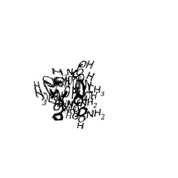 CC1(C)S[C@@H]2[C@H](NC(=O)[C@H](N)c3ccccc3)C(=O)N2[C@H]1C(=O)O.CN[C@@H]1[C@@H](O[C@H]2O[C@H](CO)[C@@H](N)[C@H](O)[C@H]2O)O[C@H]2C[C@@H](N)[C@@H](O[C@H]3[C@H](O)[C@@H](O)[C@H](N)C[C@@H]3N)O[C@@H]2[C@@H]1O